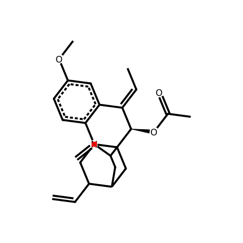 C=CC1CN2CCC1CC2[C@H](OC(C)=O)/C(=C/C)c1cc(OC)ccc1N=C